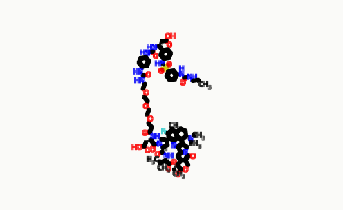 CCCNC(=O)Nc1cccc(S(=O)(=O)Nc2cccc([C@@H](CC(=O)O)NC(=O)Nc3ccc(NC(=O)NCCOCCOCCOCCC(=O)N[C@@H](CC(=O)O)C(=O)N4CCC[C@H]4C(=O)N[C@H](C(=O)O[C@]4(CC)C(=O)OCc5c4cc4n(c5=O)Cc5c-4nc4cc(F)c(C)c6c4c5[C@@H](N(C)C)CC6)C(C)C)cc3)c2)c1